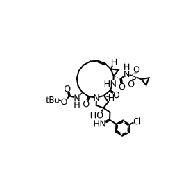 CC(C)(C)OC(=O)N[C@H]1CCCCC/C=C\[C@@H]2C[C@@]2(C(=O)NS(=O)(=O)C2CC2)NC(=O)[C@@H]2C[C@](O)(CC(=N)c3cccc(Cl)c3)CN2C1=O